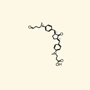 CN(CCC=O)c1ccc(/C=C2\CC/C(=C\c3ccc(N(C)CCC(=O)O)cc3)C2=O)cc1